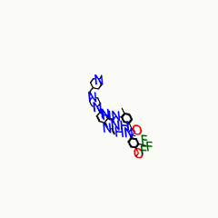 C=C/N=C1/C=CC(N2CCN(CC3CCN(C)CC3)CC2)=N/C1=C(/N)Nc1cc(C(=O)Nc2ccc(OC)c(C(F)(F)F)c2)ccc1C